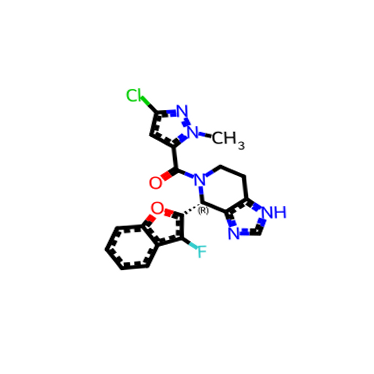 Cn1nc(Cl)cc1C(=O)N1CCc2[nH]cnc2[C@@H]1c1oc2ccccc2c1F